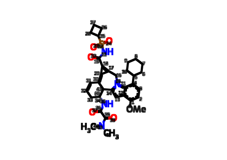 COc1ccc(C2CCCCC2)c2c1cc1n2CC2=C(C(=O)NS(=O)(=O)C3CCC3)C2=C2C=CC[C@@H](NC(=O)C(=O)N(C)C)C21